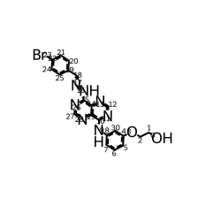 OCCOc1cccc(Nc2ncnc3c(NN=Cc4ccc(Br)cc4)ncnc23)c1